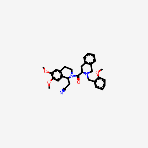 COc1ccccc1CN1Cc2ccccc2CC1C(=O)N1CCc2cc(OC)c(OC)cc2C1CC#N